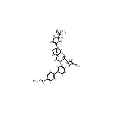 CCOc1ccc(-c2cccc(N(CC34CCC(c5noc(C(C)(F)F)n5)(CC3)CC4)C(=O)C34CC(F)(C3)C4)c2)cc1